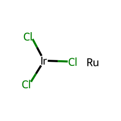 [Cl][Ir]([Cl])[Cl].[Ru]